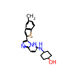 Cc1ccc2sc(-c3cnc4ccc(NC5CCC(O)CC5)nn34)cc2c1